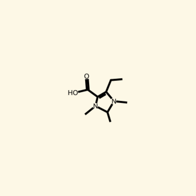 CCC1=C(C(=O)O)N(C)C(C)N1C